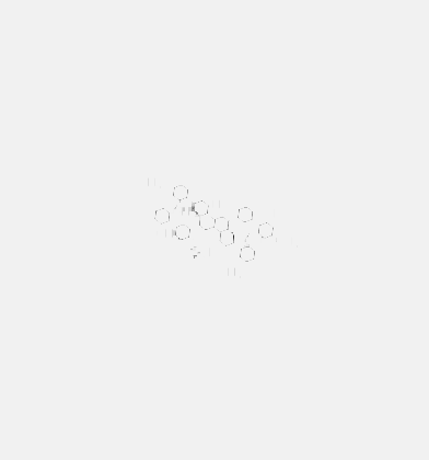 Cc1cc(C)c(-c2ccc(C)c(-c3cc4c5ccc(-c6c(C)cc(C)cc6C)cc5c(-c5cc(-c6c(C)cc(C)cc6C)ccc5OS(=O)(=O)C(F)(F)F)cc4c4ccc(-c5c(C)cc(C)cc5C)cc34)c2)c(C)c1